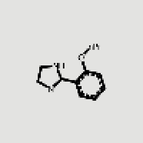 CCCOc1ccccc1C1[N]CCN1